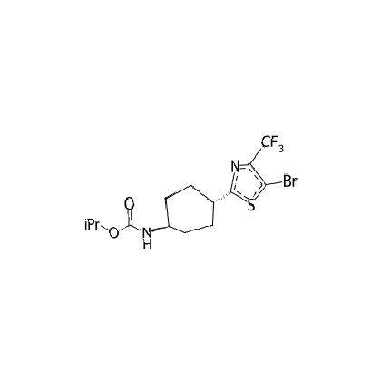 CC(C)OC(=O)N[C@H]1CC[C@H](c2nc(C(F)(F)F)c(Br)s2)CC1